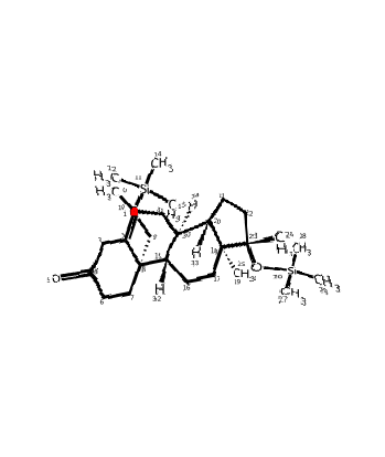 CC1=C2CC(=O)CC[C@]2(CO[Si](C)(C)C)[C@H]2CC[C@@]3(C)[C@@H](CC[C@]3(C)O[Si](C)(C)C)[C@@H]2C1